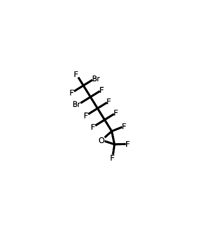 FC(F)(Br)C(F)(Br)C(F)(F)C(F)(F)C1(F)OC1(F)F